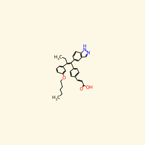 CCCCCOc1cccc(/C(CC)=C(\c2ccc(/C=C/C(=O)O)cc2)c2ccc3[nH]ncc3c2)c1